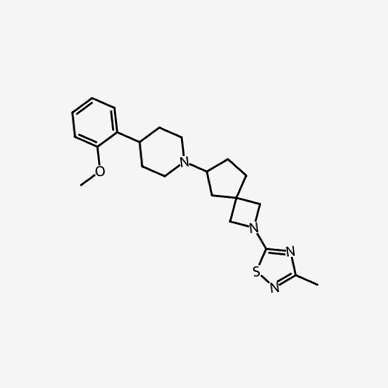 COc1ccccc1C1CCN(C2CCC3(C2)CN(c2nc(C)ns2)C3)CC1